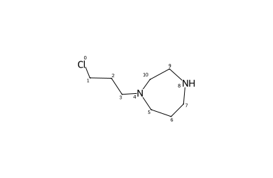 ClCCCN1CCCNCC1